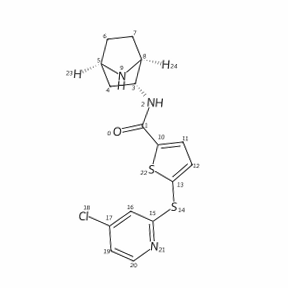 O=C(N[C@@H]1C[C@H]2CC[C@@H]1N2)c1ccc(Sc2cc(Cl)ccn2)s1